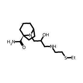 CCSCCNCC(O)CN1C2C[CH]C[C@@]1(C(N)=O)CC2